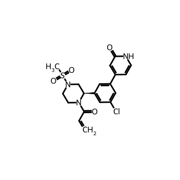 C=CC(=O)N1CCN(S(C)(=O)=O)C[C@H]1c1cc(Cl)cc(-c2cc[nH]c(=O)c2)c1